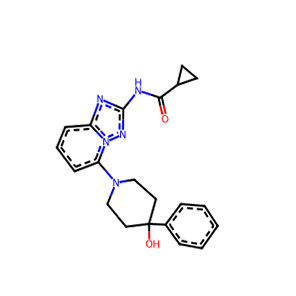 O=C(Nc1nc2cccc(N3CCC(O)(c4ccccc4)CC3)n2n1)C1CC1